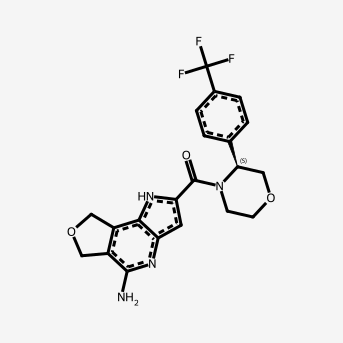 Nc1nc2cc(C(=O)N3CCOC[C@@H]3c3ccc(C(F)(F)F)cc3)[nH]c2c2c1COC2